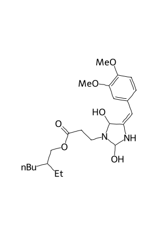 CCCCC(CC)COC(=O)CCN1C(O)NC(=Cc2ccc(OC)c(OC)c2)C1O